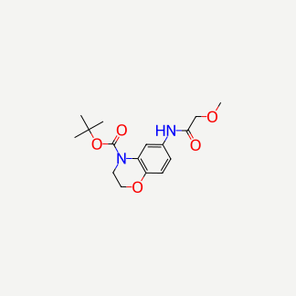 COCC(=O)Nc1ccc2c(c1)N(C(=O)OC(C)(C)C)CCO2